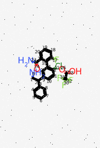 NCC(c1ccccc1)c1ccc(Cl)c(-c2c(F)cccc2C(N)=O)c1.O=C(O)C(F)(F)F